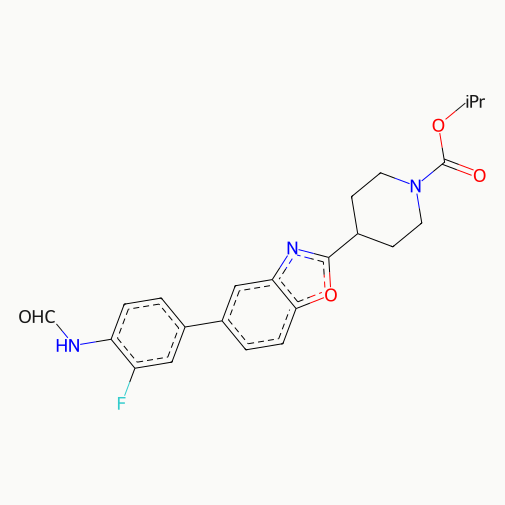 CC(C)OC(=O)N1CCC(c2nc3cc(-c4ccc(NC=O)c(F)c4)ccc3o2)CC1